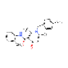 CCc1cc(=O)c(C(=O)Nc2ccccc2C)c(C)n1Cc1ccc(C)cc1